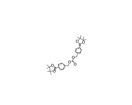 CC1(C)OB(c2ccc(COC(=O)OCc3ccc(B4OC(C)(C)C(C)(C)O4)cc3)cc2)OC1(C)C